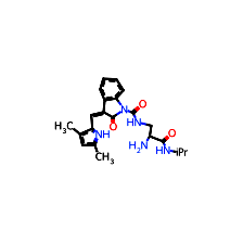 Cc1cc(C)c(/C=C2\C(=O)N(C(=O)NCC(N)C(=O)NC(C)C)c3ccccc32)[nH]1